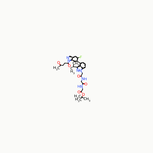 CC(=O)CCC(=O)n1ncc2cc(F)c(-c3cccc4c3c(C(C)C)nn4CC(=O)NCC(=O)NCC(=O)OC(C)(C)C)cc21